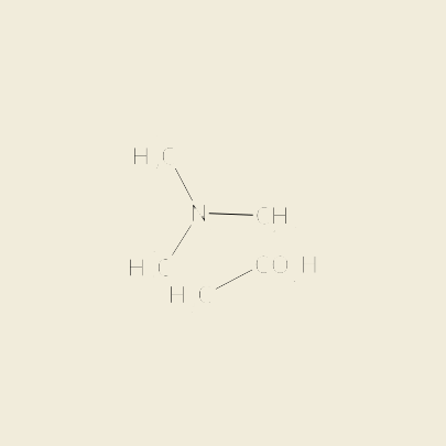 CC(=O)O.CN(C)C